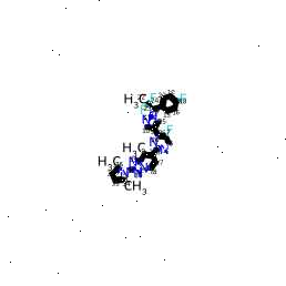 Cc1c(-c2ncc(F)c(-c3cnn([C@H](c4ccc(F)cc4)C(C)(F)F)c3)n2)ccn2nc(-n3c(C)ccc3C)nc12